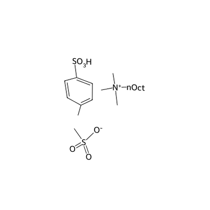 CCCCCCCC[N+](C)(C)C.CS(=O)(=O)[O-].Cc1ccc(S(=O)(=O)O)cc1